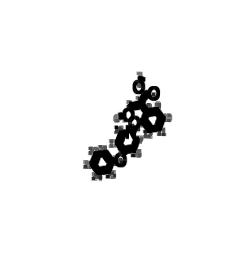 CO/C=C(/C(=O)OC)c1ccccc1ON1C=CC(Oc2ccccc2)=CC1